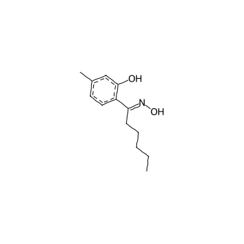 CCCCCC(=NO)c1ccc(C)cc1O